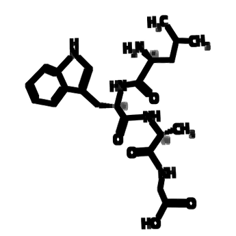 CC(C)C[C@H](N)C(=O)N[C@@H](Cc1c[nH]c2ccccc12)C(=O)N[C@H](C)C(=O)NCC(=O)O